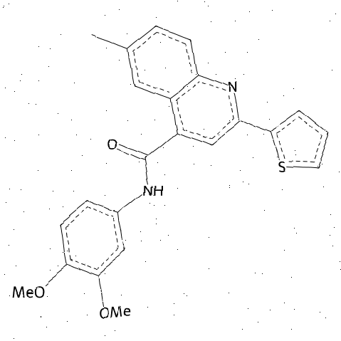 COc1ccc(NC(=O)c2cc(-c3cccs3)nc3ccc(C)cc23)cc1OC